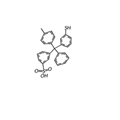 Cc1ccc(C(c2ccccc2)(c2cccc(S)c2)c2cccc(S(=O)(=O)O)c2)cc1